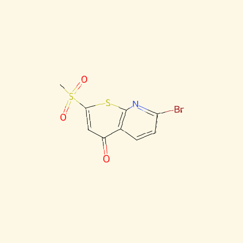 CS(=O)(=O)c1cc(=O)c2ccc(Br)nc2s1